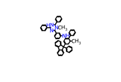 CC1CC(C2(c3ccccc3)c3ccccc3-c3ccccc32)=CC(Nc2cccc(C3N=C(c4ccccc4)NC(c4ccccc4)N3C)c2)=C1c1ccccc1